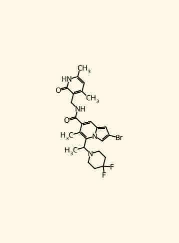 Cc1cc(C)c(CNC(=O)c2cc3cc(Br)cn3c(C(C)N3CCC(F)(F)CC3)c2C)c(=O)[nH]1